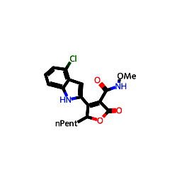 CCCCCC1OC(=O)C(C(=O)NOC)=C1c1cc2c(Cl)cccc2[nH]1